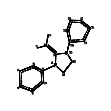 CC(C)=C1P(c2ccccc2)CCP1c1ccccc1